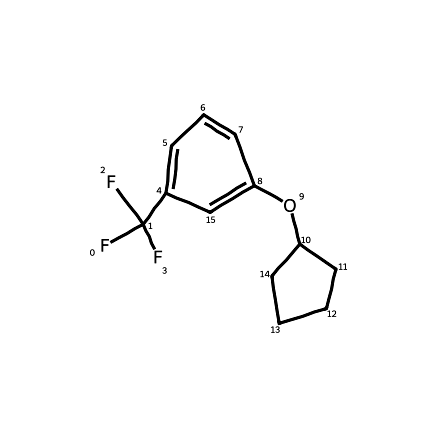 FC(F)(F)c1cccc(OC2CCCC2)c1